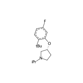 CC(C)N1CC[C@@H](Oc2cc(F)ccc2C(C)(C)C)C1